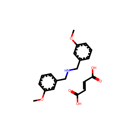 COc1cccc(CNCc2cccc(OC)c2)c1.O=C(O)C=CC(=O)O